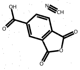 C#N.O=C(O)c1ccc2c(c1)C(=O)OC2=O